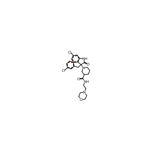 O=C(NCCN1CCOCC1)C1CCCN(C2(Cc3cccc(Cl)c3)C(=O)Nc3cc(Cl)ccc32)C1